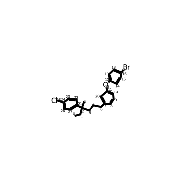 CCC(C)(CCCc1cccc(Oc2ccc(Br)cc2)c1)c1ccc(Cl)cc1